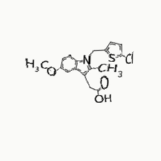 COc1ccc2c(c1)c(CC(=O)O)c(C)n2Cc1ccc(Cl)s1